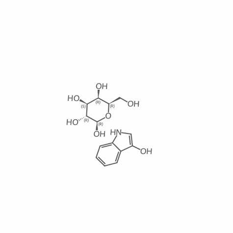 OC[C@H]1O[C@@H](O)[C@H](O)[C@@H](O)[C@H]1O.Oc1c[nH]c2ccccc12